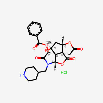 CC(C)(C)[C@]1(O)C[C@@H]2OC(=O)C[C@@]23C(=O)O[C@@H]2N(CC4CCNCC4)C(=O)[C@@H](OC(=O)c4ccccc4)[C@]213.Cl